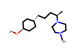 CC(C)O[C@H]1CC[C@H](CCC[C@@H](C)N2CCN(C(C)C)CC2)CC1